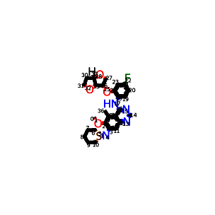 COc1c(N=S2CCCCC2)cc2ncnc(Nc3ccc(F)cc3OC3CO[C@@H]4CCOC34)c2c1C